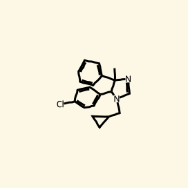 CC1(c2ccccc2)N=CN(CC2CC2)C1c1ccc(Cl)cc1